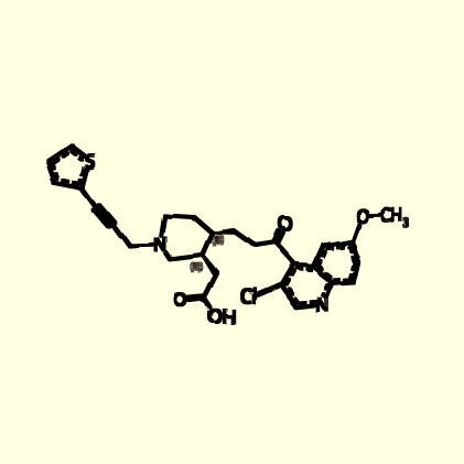 COc1ccc2ncc(Cl)c(C(=O)CC[C@@H]3CCN(CC#Cc4cccs4)C[C@@H]3CC(=O)O)c2c1